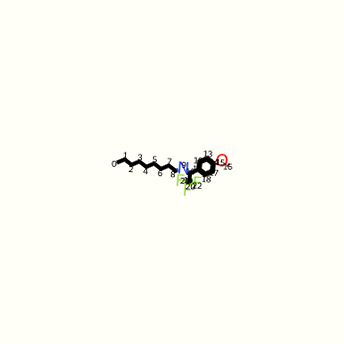 CCCCCCCCC/N=C(/c1ccc(OC)cc1)C(F)(F)F